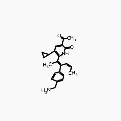 C/C=C\C(=C(\C)c1[nH]c(=O)c(C(C)=O)cc1C1CC1)c1ccc(CN)cc1